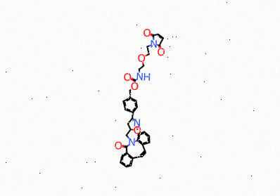 O=C(NCCOCCN1C(=O)C=CC1=O)OCc1ccc(C2=NOC(CN3C(=O)c4ccccc4C#Cc4ccccc43)C2)cc1